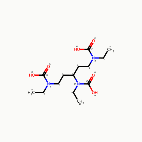 CCN(CCC(CCN(CC)C(=O)O)N(CC)C(=O)O)C(=O)O